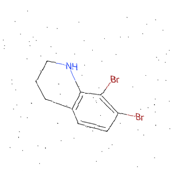 Brc1ccc2c(c1Br)NCCC2